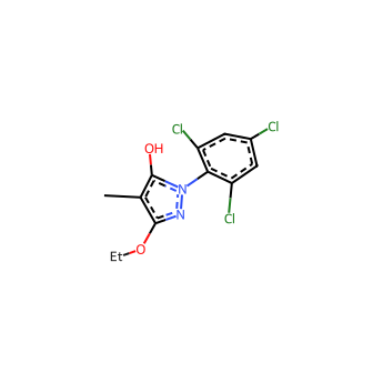 CCOc1nn(-c2c(Cl)cc(Cl)cc2Cl)c(O)c1C